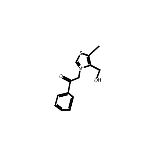 Cc1sc[n+](CC(=O)c2ccccc2)c1CO